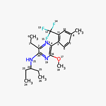 CCc1nc(-c2ccc(C)cc2C(F)(F)F)c(OC)nc1NC(CC)CC